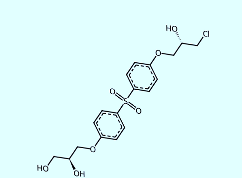 O=S(=O)(c1ccc(OC[C@H](O)CCl)cc1)c1ccc(OC[C@@H](O)CO)cc1